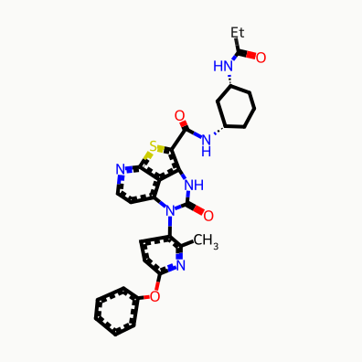 CCC(=O)N[C@@H]1CCC[C@H](NC(=O)c2sc3nccc4c3c2NC(=O)N4c2ccc(Oc3ccccc3)nc2C)C1